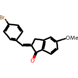 COc1ccc2c(c1)CC(=Cc1ccc(Br)cc1)C2=O